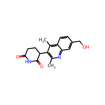 Cc1nc2cc(CO)ccc2c(C)c1C1CCC(=O)NC1=O